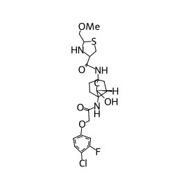 COCC1NC(C(=O)NC23CCC(NC(=O)COc4ccc(Cl)c(F)c4)(CC2)[C@@H](O)C3)CS1